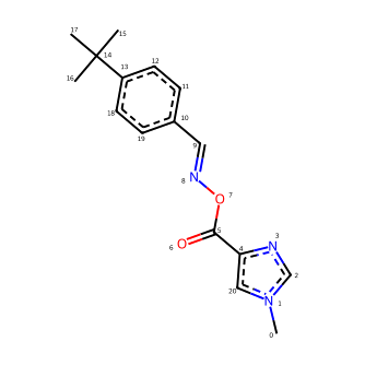 Cn1cnc(C(=O)ON=Cc2ccc(C(C)(C)C)cc2)c1